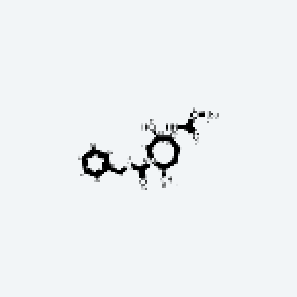 C[C@@H]1CC[C@@H](NC(=O)OC(C)(C)C)[C@H](O)CN1C(=O)OCc1ccccc1